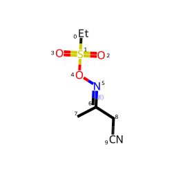 CCS(=O)(=O)O/N=C(\C)CC#N